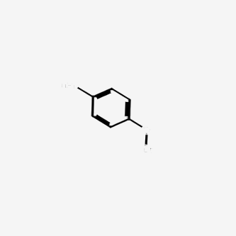 [CH2]COc1ccc(CCC)cc1